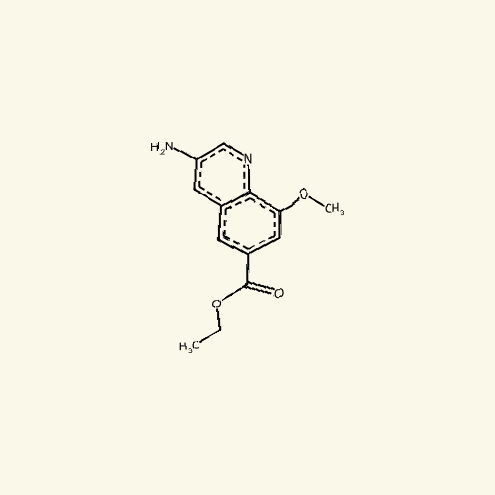 CCOC(=O)c1cc(OC)c2ncc(N)cc2c1